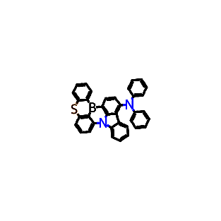 c1ccc(N(c2ccccc2)c2ccc3c4c2c2ccccc2n4-c2cccc4c2B3c2ccccc2S4)cc1